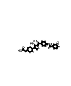 N=C1C(C2CCC(CC(=O)O)CC2)=CS/C1=C(/N)c1ccc(NC(=O)c2cccc(Cl)c2)cc1